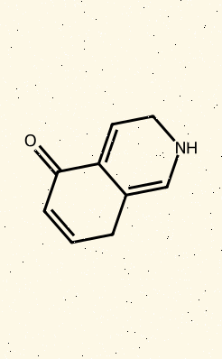 O=C1C=CCC2=CNCC=C12